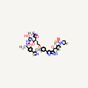 Cc1cc([C@@H](CCCOc2ccc(-c3cnc4[nH]cc(C(=O)c5c(F)ccc(N(N6CC[C@@H](F)C6)[SH](=O)=O)c5F)c4c3)cc2)C(=O)N2C[C@H](O)C[C@H]2C(=O)N[C@@H](C)c2ccc(-c3scnc3C)cc2)on1